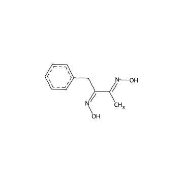 CC(=NO)C(Cc1ccccc1)=NO